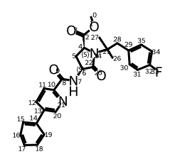 COC(=O)[C@@H]1C[C@H](NC(=O)c2ccc(-c3ccccc3)cn2)C(=O)N1C(C)(C)Cc1ccc(F)cc1